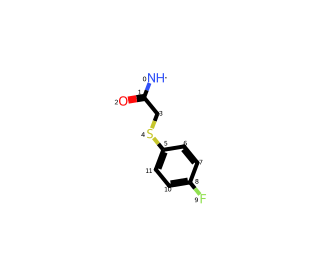 [NH]C(=O)CSc1ccc(F)cc1